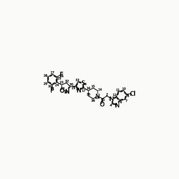 O=C(Cn1cnc2cc(Cl)ccc21)N1CCC(c2nc(C3=NOC(c4c(F)cccc4F)C3)cs2)CC1